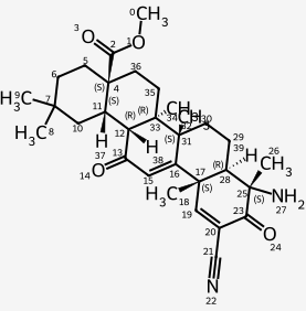 COC(=O)[C@]12CCC(C)(C)C[C@H]1[C@H]1C(=O)C=C3[C@@]4(C)C=C(C#N)C(=O)[C@@](C)(N)[C@@H]4CC[C@@]3(C)[C@]1(C)CC2